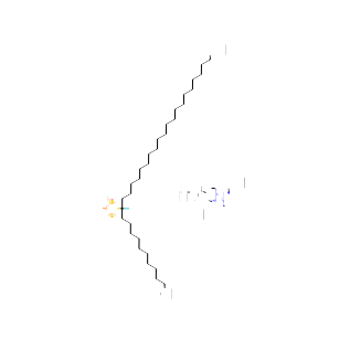 CCCCCCCCCCCCCCCCCCCCCC(F)(CCCCCCCCCCC)S(=O)(=O)[O-].CC[N+](CC)(CC)CC